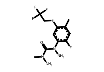 Cc1cc(F)c(N(N)C(=O)N(C)N)cc1SCC(F)(F)F